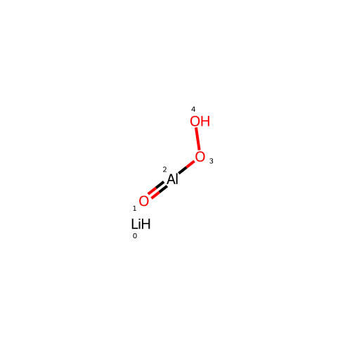 [LiH].[O]=[Al][O]O